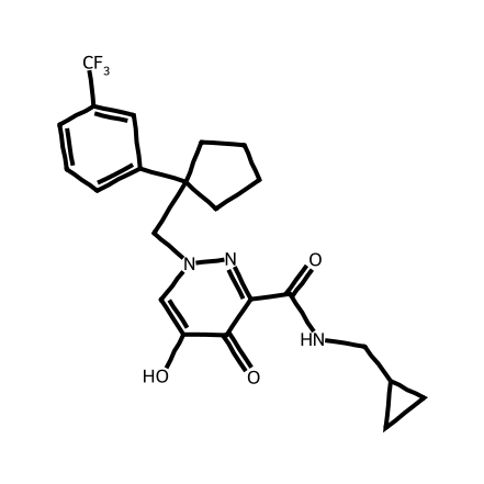 O=C(NCC1CC1)c1nn(CC2(c3cccc(C(F)(F)F)c3)CCCC2)cc(O)c1=O